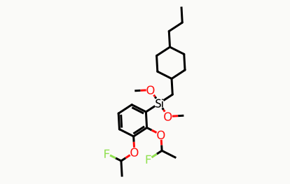 CCCC1CCC(C[Si](OC)(OC)c2cccc(OC(C)F)c2OC(C)F)CC1